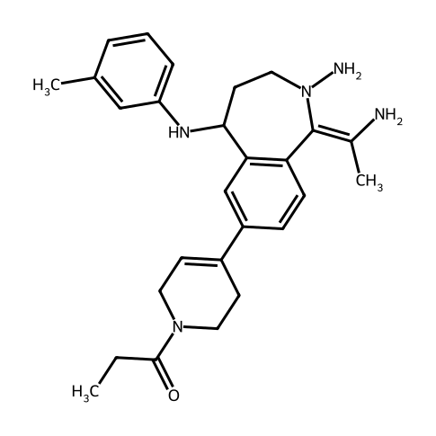 CCC(=O)N1CC=C(c2ccc3c(c2)C(Nc2cccc(C)c2)CCN(N)/C3=C(/C)N)CC1